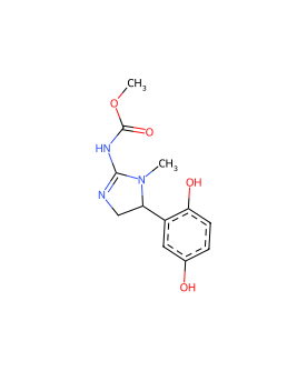 COC(=O)NC1=NCC(c2cc(O)ccc2O)N1C